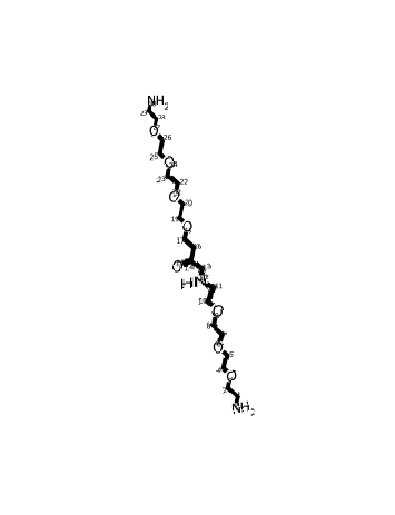 NCCOCCOCCOCCNCC(=O)CCOCCOCCOCCOCCN